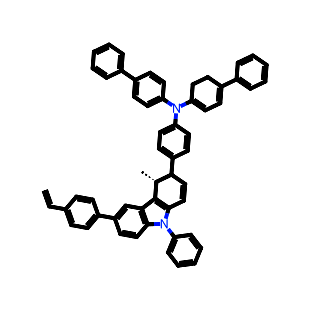 C=Cc1ccc(-c2ccc3c(c2)c2c(n3-c3ccccc3)C=CC(c3ccc(N(C4=CC=C(c5ccccc5)CC4)c4ccc(-c5ccccc5)cc4)cc3)[C@H]2C)cc1